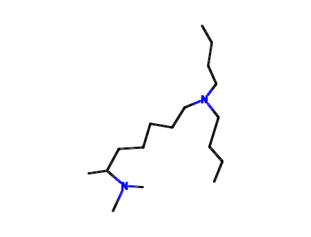 CCCCN(CCCC)CCCCCC(C)N(C)C